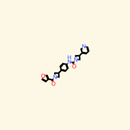 O=C(Nc1ccc(C2CN(C(=O)c3ccoc3)C2)cc1)N1CC(c2cccnc2)C1